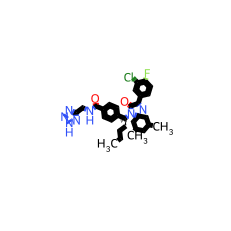 CCCC[C@H](c1ccc(C(=O)NCc2nn[nH]n2)cc1)N1C(=O)C(c2ccc(F)c(Cl)c2)=NC12CC(C)CC(C)C2